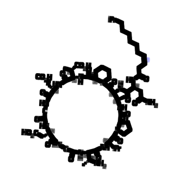 CC(C)CCCCCC/C=C\CC(=O)N[C@@H](CC(N)=O)C(=O)N[C@@H]1C(=O)N2CCCC[C@@H]2C(=O)N[C@@H]([C@H](C)C(=O)O)C(=O)N[C@@H](CC(=O)O)C(=O)NCC(=O)N[C@@H](CC(=O)O)C(=O)NCC(=O)N[C@H]([C@@H](C)N)C(=O)N[C@H](C(C)C)C(=O)N2CCC[C@H]2C(=O)N[C@@H]1C